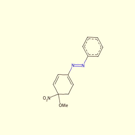 COC1([N+](=O)[O-])C=CC(N=Nc2ccccc2)=CC1